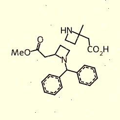 CC1(CC(=O)O)CCN1.COC(=O)CC1CCN1C(c1ccccc1)c1ccccc1